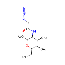 CC(=O)OCC1OC(OC(C)=O)C(NC(=O)CN=[N+]=[N-])[C@@H](OC(C)=O)[C@H]1OC(C)=O